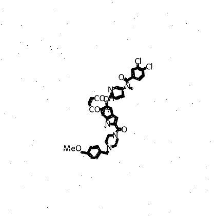 COCc1ccc(CN2CCN(C(=O)c3cc4cc(Oc5ccc(N(C)C(=O)c6ccc(Cl)c(Cl)c6)cn5)ccc4n3C)CC2)cc1.O=C(O)/C=C\C(=O)O